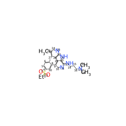 CCS(=O)(=O)c1cccc(-c2cnc(NCCCN(C)C)c3[nH]c4ncc(C)cc4c23)c1